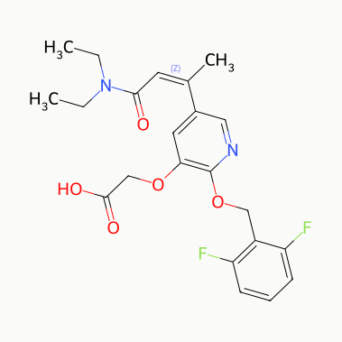 CCN(CC)C(=O)/C=C(/C)c1cnc(OCc2c(F)cccc2F)c(OCC(=O)O)c1